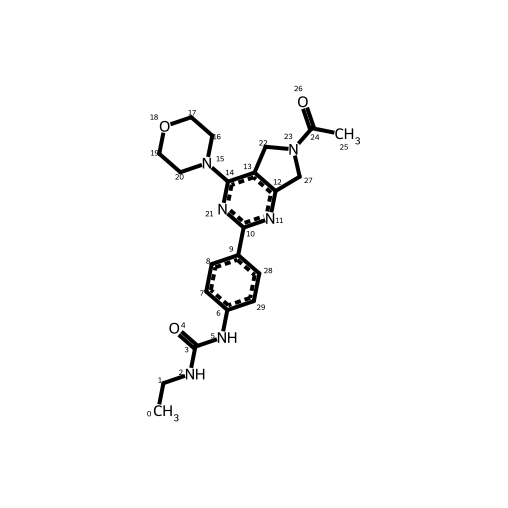 CCNC(=O)Nc1ccc(-c2nc3c(c(N4CCOCC4)n2)CN(C(C)=O)C3)cc1